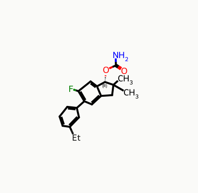 CCc1cccc(-c2cc3c(cc2F)[C@H](OC(N)=O)C(C)(C)C3)c1